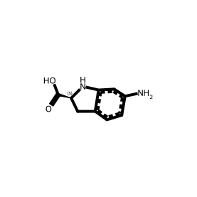 Nc1ccc2c(c1)N[C@H](C(=O)O)C2